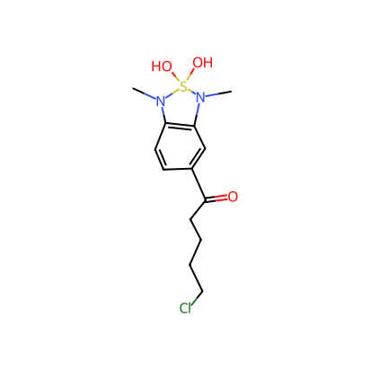 CN1c2ccc(C(=O)CCCCCl)cc2N(C)S1(O)O